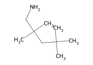 CC(C)(C)CC(C)(C)CN